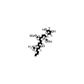 C=C/C=C\[C@H](C)[C@H](OC(N)=O)[C@@H](C)[C@H](O)[C@@H](C)C/C(C)=C\[C@H](C)[C@@H](OCOC)[C@@H](C)/C=C\[C@H](C[C@@H]1O[C@@H](O)[C@H](C)[C@@H](O)[C@H]1C)OCOC